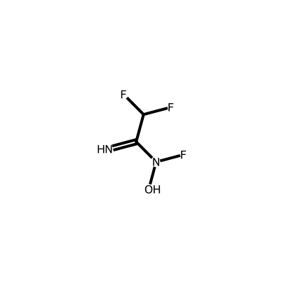 N=C(C(F)F)N(O)F